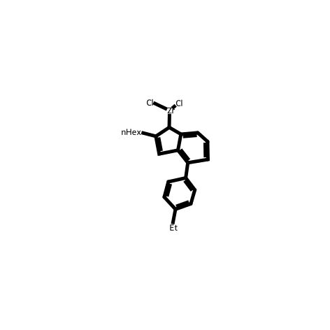 CCCCCCC1=Cc2c(-c3ccc(CC)cc3)cccc2[CH]1[Zr]([Cl])[Cl]